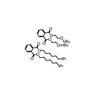 CC(C)CCCCCCOC(=O)c1ccccc1C(=O)OCCCCCCC(C)C.CCCCOCCOC(=O)c1ccccc1C(=O)OCCOCCCC